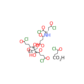 CCC(COC(=O)CCC(=O)N[C@@H](CCC(=O)Cl)C(=O)Cl)([C@H](O)C(=O)CCC(=O)Cl)[C@H](O)C(=O)CCC(=O)Cl.O=C(O)CCC(=O)Cl